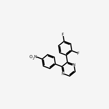 O=[N+]([O-])c1ccc(-c2nccnc2-c2ccc(F)cc2F)cc1